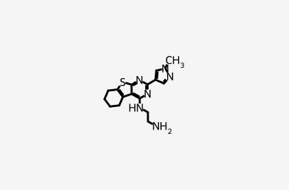 Cn1cc(-c2nc(NCCN)c3c4c(sc3n2)CCCC4)cn1